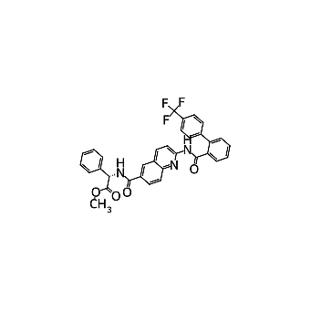 COC(=O)[C@@H](NC(=O)c1ccc2nc(NC(=O)c3ccccc3-c3ccc(C(F)(F)F)cc3)ccc2c1)c1ccccc1